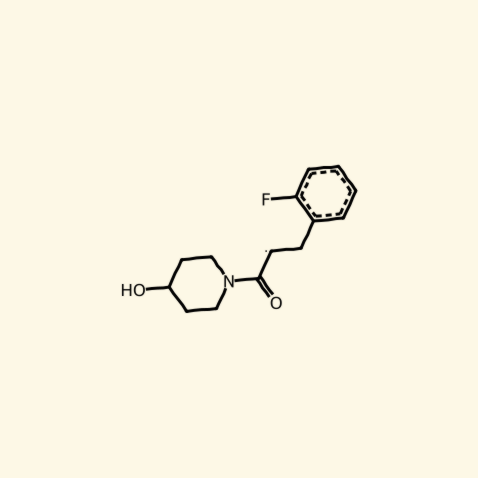 O=C([CH]Cc1ccccc1F)N1CCC(O)CC1